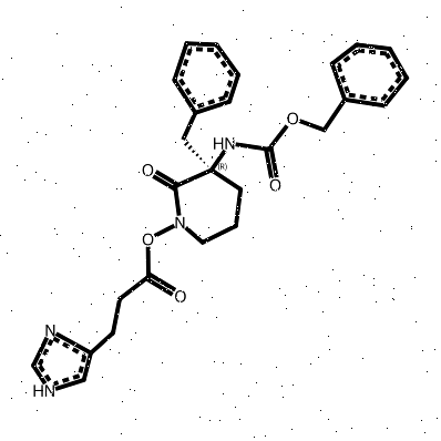 O=C(CCc1c[nH]cn1)ON1CCC[C@](Cc2ccccc2)(NC(=O)OCc2ccccc2)C1=O